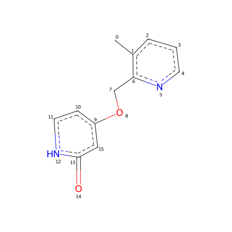 Cc1cccnc1COc1cc[nH]c(=O)c1